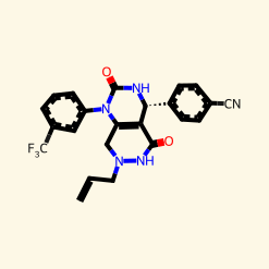 C=CCN1CC2=C(C(=O)N1)[C@@H](c1ccc(C#N)cc1)NC(=O)N2c1cccc(C(F)(F)F)c1